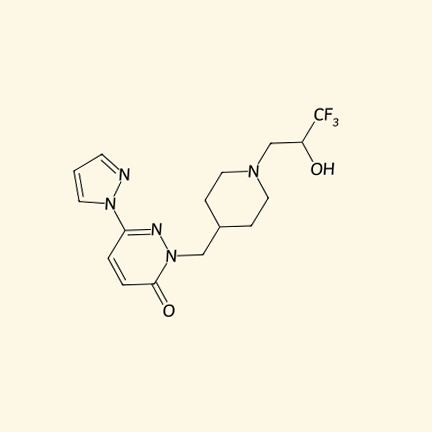 O=c1ccc(-n2cccn2)nn1CC1CCN(CC(O)C(F)(F)F)CC1